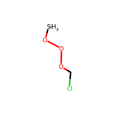 [SiH3]OOOCCl